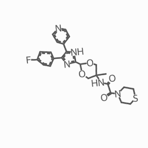 CC1(NC(=O)C(=O)N2CCSCC2)COC(c2nc(-c3ccc(F)cc3)c(-c3ccncc3)[nH]2)OC1